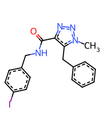 Cn1nnc(C(=O)NCc2ccc(I)cc2)c1Cc1ccccc1